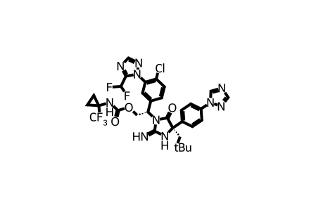 CC(C)(C)C[C@]1(c2ccc(-n3cncn3)cc2)NC(=N)N([C@H](COC(=O)NC2(C(F)(F)F)CC2)c2ccc(Cl)c(-n3ncnc3C(F)F)c2)C1=O